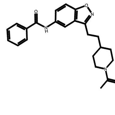 CC(=O)N1CCC(CCc2noc3ccc(NC(=O)c4ccccc4)cc23)CC1